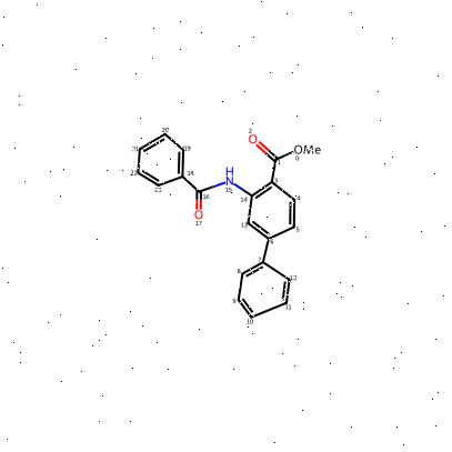 COC(=O)c1ccc(-c2ccccc2)cc1NC(=O)c1[c]c[c]cc1